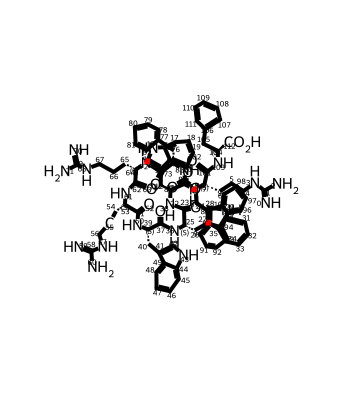 N=C(N)NCCC[C@H](NC(=O)[C@H](Cc1c[nH]c2ccccc12)NC(=O)[C@H](Cc1c[nH]c2ccccc12)NC(=O)[C@H](Cc1c[nH]c2ccccc12)NC(=O)[C@H](CCCNC(=N)N)NC(=O)[C@H](CCCNC(=N)N)NC(=O)[C@H](Cc1ccccc1)NC(=O)OCC1c2ccccc2-c2ccccc21)C(=O)N[C@@H](Cc1ccccc1)C(=O)O